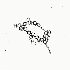 C=CC(=O)OCCCCCCOc1ccccc1.CCCCCCCCOc1cc(N)c(-c2ccc(C(=O)Oc3ccc(COC(=O)c4cc(C(=O)O)ccc4C(=O)O)cc3)cc2)cc1[N+](=O)[O-]